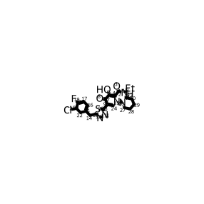 CCN1C(=O)c2c(O)c(=O)c(-c3nnc(CC4=CC=C(F)C(Cl)C4)s3)cn2N2CCCC[C@H]12